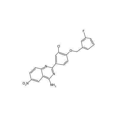 Nc1nc(-c2ccc(OCc3cccc(F)c3)c(Cl)c2)nc2ccc([N+](=O)[O-])cc12